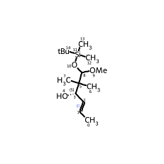 C/C=C/[C@H](O)C(C)(C)C(OC)O[Si](C)(C)C(C)(C)C